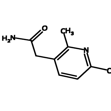 Cc1nc(Cl)ccc1CC(N)=O